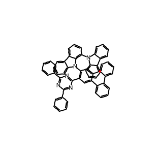 c1ccc(-c2nc(-c3ccccc3)nc(-c3cc4c5ccccc5c5ccccc5c4cc3-n3c4ccccc4c4cccc(-n5c6ccccc6c6ccccc65)c43)n2)cc1